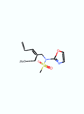 C=C/C=C(\COC)CN(c1ncco1)S(C)(=O)=O